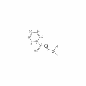 C=C(OCC(C)C)c1ccccc1